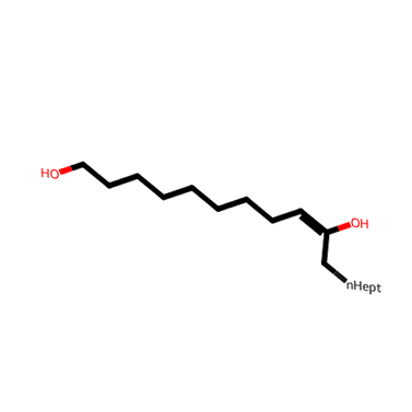 CCCCCCCC/C(O)=C\CCCCCCCCO